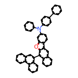 c1ccc(-c2ccc(N(c3ccccc3)c3ccc4c(c3)oc3c(-c5cc6ccccc6c6ccccc56)c5ccccc5cc34)cc2)cc1